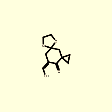 O=C1/C(=C\O)CC2(CC13CC3)OCCO2